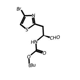 CC(C)(C)OC(=O)N[C@H](C=O)Cc1nc(Br)cs1